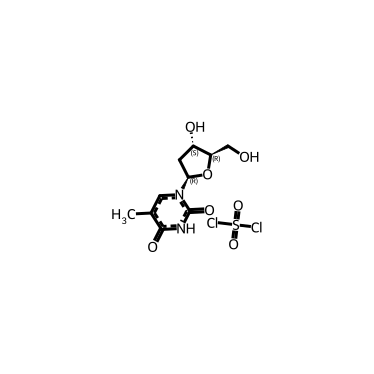 Cc1cn([C@H]2C[C@H](O)[C@@H](CO)O2)c(=O)[nH]c1=O.O=S(=O)(Cl)Cl